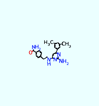 Cc1cc(C)cc(-c2cc(NCCc3ccc(C(N)=O)cc3)nc(N)n2)c1